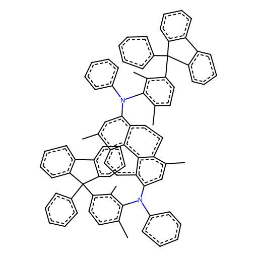 Cc1ccc(C2(c3ccccc3)c3ccccc3-c3ccccc32)c(C)c1N(c1ccccc1)c1cc(C)c2ccc3c(N(c4ccccc4)c4c(C)ccc(C5(c6ccccc6)c6ccccc6-c6ccccc65)c4C)cc(C)c4ccc1c2c43